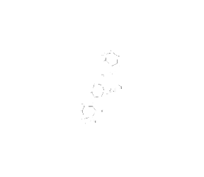 O=C1CN(c2ccnnc2)Cc2ccc(-c3ccc(F)c(F)c3F)cc2N1